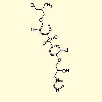 CC(CCl)COc1ccc(S(=O)(=O)c2ccc(OCC(O)Cn3ccnc3)c(Cl)c2)cc1Cl